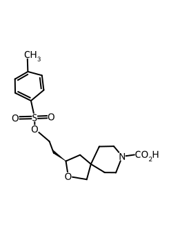 Cc1ccc(S(=O)(=O)OCC[C@H]2CC3(CCN(C(=O)O)CC3)CO2)cc1